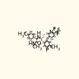 CNC(=O)[C@@H](NCC[C@H](c1ccc(C(F)(F)F)nc1)c1ccc(F)c(C)c1)c1ccc(C)cc1